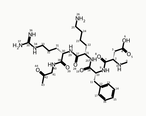 CN[C@@H](CC(=O)O)C(=O)N[C@H](Cc1ccccc1)C(=O)N[C@@H](CCCCN)C(=O)N[C@@H](CCCNC(=N)N)C(=O)NCC(C)=O